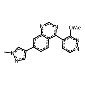 COc1nnccc1-c1ncnc2cc(-c3cnn(C)c3)ccc12